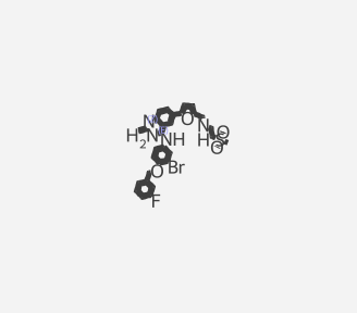 C=C/N=C1/C=CC(c2ccc(CNCCS(C)(=O)=O)o2)=C/C1=C(/N)Nc1ccc(OCc2cccc(F)c2)c(Br)c1